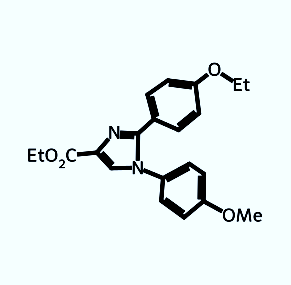 CCOC(=O)c1cn(-c2ccc(OC)cc2)c(-c2ccc(OCC)cc2)n1